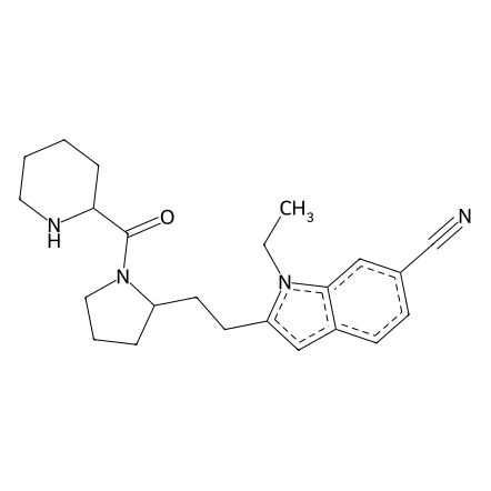 CCn1c(CCC2CCCN2C(=O)C2CCCCN2)cc2ccc(C#N)cc21